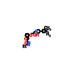 CCc1nnc(-c2cc3c(OC[C@@H](O)CN4CCC(c5ccc(C)c(C)c5)CC4)cccc3o2)o1